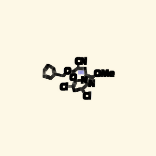 COc1nc2c(Cl)cc(Cl)cn2c1/C=C(/C#N)C(=O)OCc1ccccc1